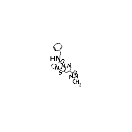 Cc1noc(-c2cnc3nc(N4CCC[C@@H]4C(=O)NCc4ccccc4)sc3c2)n1